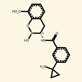 NC1(c2cccc(C(=O)N[C@H]3Cc4cccc(C(=O)O)c4OB3O)c2)CC1